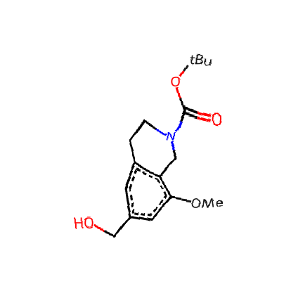 COc1cc(CO)cc2c1CN(C(=O)OC(C)(C)C)CC2